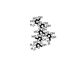 C[C@@H]1OC(CO)[C@@H](O[C@@H]2OC(CO)[C@@H](O[C@@H]3OC(CO[C@H]4OC(CO)[C@@H](O)C(O)[C@H]4O)[C@@H](O)C(OC4O[C@H](CO)[C@@H](O)C(O)C4O[C@@H]4OC(CO)[C@@H](O)C(O)[C@@H]4C)[C@H]3O)C(O)[C@@H]2C)C(O)[C@@H]1C